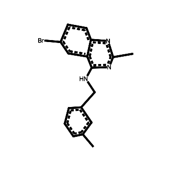 Cc1cccc(CNc2nc(C)nc3ccc(Br)cc23)c1